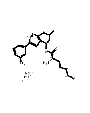 CC1Cc2nnc(-c3cccc(C(F)(F)F)c3)cc2C(OC(=O)[C@@H](N)CCCCN)C1.Cl.Cl.Cl